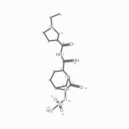 CCN1CCC(C(=O)NC(=N)C2CCC3CN2C(=O)N3OS(=O)(=O)O)C1